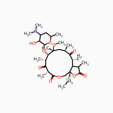 CC[C@@H]1OC(=O)[C@H](C)C(=O)[C@H](C)[C@@H](OC2OC(C)CC(N(C)C)C2O)[C@](C)(OC)C[C@@H](C)C(=O)[C@H](C)C2C(C)C(=O)O[C@@]21C